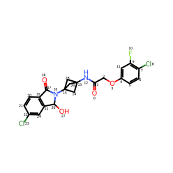 O=C(COc1ccc(Cl)c(F)c1)NC12CC(N3C(=O)c4ccc(Cl)cc4C3O)(C1)C2